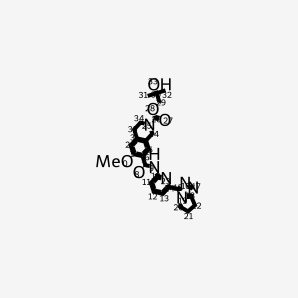 COc1cc2c(cc1C(=O)Nc1cccc(-c3nnc4n3CCC4)n1)CN(C(=O)OCC(C)(C)O)CC2